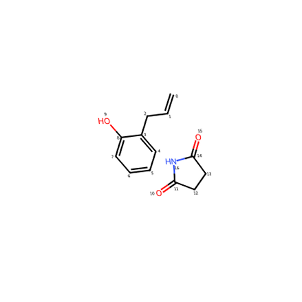 C=CCc1ccccc1O.O=C1CCC(=O)N1